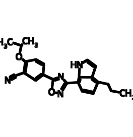 CCCc1ccc(-c2noc(-c3ccc(OC(C)C)c(C#N)c3)n2)c2[nH]ccc12